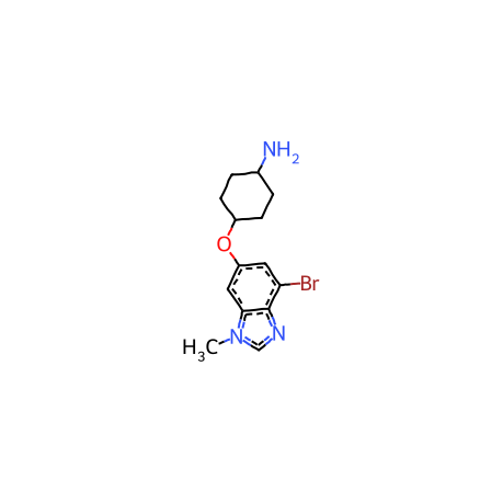 Cn1cnc2c(Br)cc(OC3CCC(N)CC3)cc21